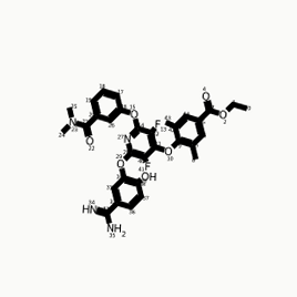 CCOC(=O)c1cc(C)c(Oc2c(F)c(Oc3cccc(C(=O)N(C)C)c3)nc(Oc3cc(C(=N)N)ccc3O)c2F)c(C)c1